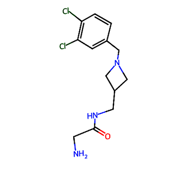 NCC(=O)NCC1CN(Cc2ccc(Cl)c(Cl)c2)C1